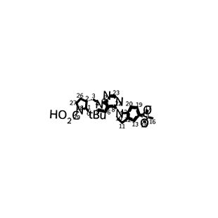 CC(C)(C)C1[C@@H](Cn2ccc3c(N4CCc5cc(S(C)(=O)=O)ccc54)ncnc32)CCN1C(=O)O